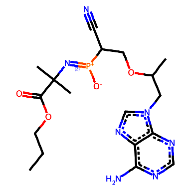 CCCOC(=O)C(C)(C)/N=[P+](\[O-])C(C#N)COC(C)Cn1cnc2c(N)ncnc21